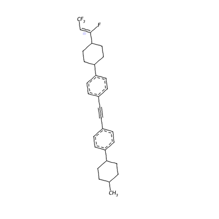 CC1CCC(c2ccc(C#Cc3ccc(C4CCC(/C(F)=C/C(F)(F)F)CC4)cc3)cc2)CC1